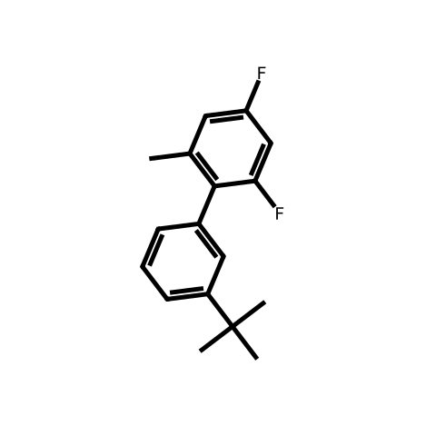 Cc1cc(F)cc(F)c1-c1cccc(C(C)(C)C)c1